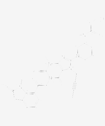 CC#CCn1c(N2CCC[C@@H](NC(=O)OC(C)(C)C)C2)nc2c1c(=O)n(CC(=O)c1cccc3oc(=O)n(C)c13)c(=O)n2C